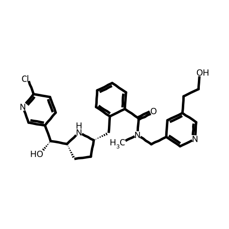 CN(Cc1cncc(CCO)c1)C(=O)c1ccccc1C[C@@H]1CC[C@H]([C@H](O)c2ccc(Cl)nc2)N1